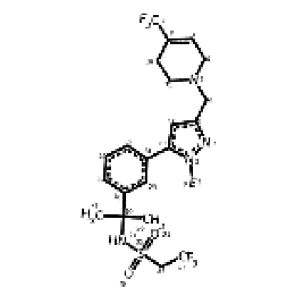 CCn1nc(CN2CC=C(C(F)(F)F)CC2)cc1-c1cccc(C(C)(C)NS(=O)(=O)CC(F)(F)F)c1